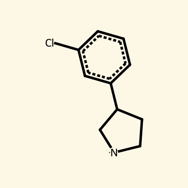 Clc1cccc(C2CC[N]C2)c1